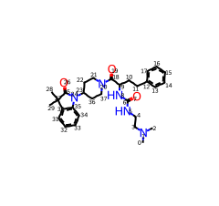 CN(C)CCNC(=O)NC(CCc1ccccc1)C(=O)N1CCC(N2C(=O)C(C)(C)c3ccccc32)CC1